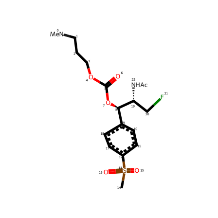 CNCCCOC(=O)O[C@H](c1ccc(S(C)(=O)=O)cc1)[C@@H](CF)NC(C)=O